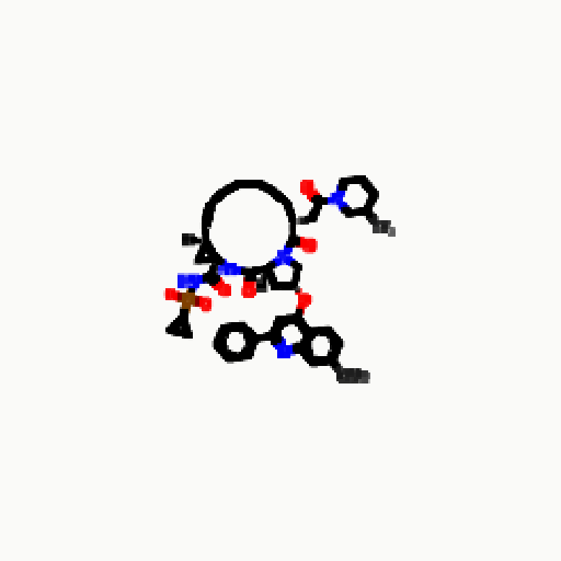 COc1ccc2c(O[C@@H]3C[C@H]4C(=O)N[C@]5(C(=O)NS(=O)(=O)C6CC6)C[C@H]5/C=C\CCCCC[C@H](CC(=O)N5CCCC(C(F)(F)F)C5)C(=O)N4C3)cc(-c3ccccc3)nc2c1